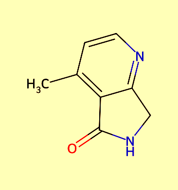 Cc1ccnc2c1C(=O)NC2